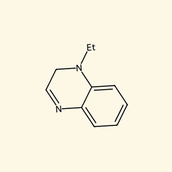 CCN1CC=Nc2ccccc21